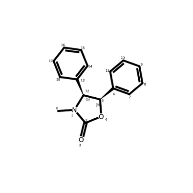 CN1C(=O)O[C@H](c2ccccc2)[C@@H]1c1ccccc1